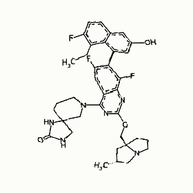 CCc1c(F)ccc2cc(O)cc(-c3c(F)cc4c(N5CCCC6(CNC(=O)N6)C5)nc(OC[C@@]56CCCN5C[C@H](C)C6)nc4c3F)c12